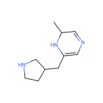 CC1C=NC=C(CC2CCNC2)N1